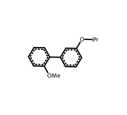 COc1ccccc1-c1[c]ccc(OC(C)C)c1